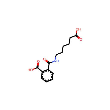 O=C(O)CCCCCNC(=O)c1ccccc1C(=O)O